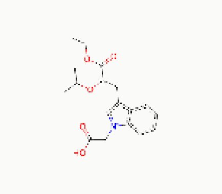 CCOC(=O)C(Cc1cn(CC(=O)O)c2ccccc12)OC(C)C